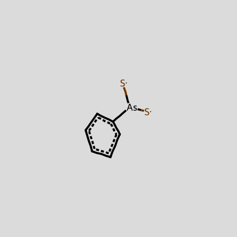 [S][As]([S])c1ccccc1